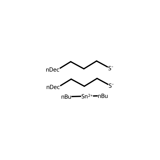 CCCCCCCCCCCCC[S-].CCCCCCCCCCCCC[S-].CCC[CH2][Sn+2][CH2]CCC